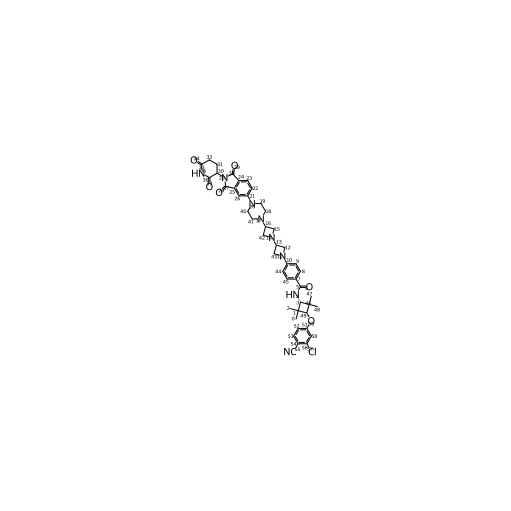 CC1(C)[C@H](NC(=O)c2ccc(N3CC(N4CC(N5CCN(c6ccc7c(c6)C(=O)N(C6CCC(=O)NC6=O)C7=O)CC5)C4)C3)cc2)C(C)(C)[C@H]1Oc1ccc(C#N)c(Cl)c1